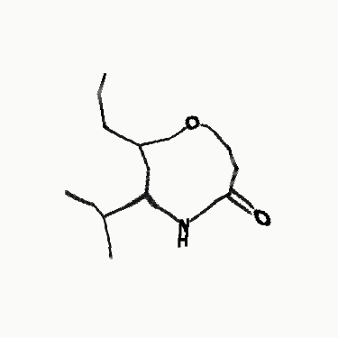 CCC1OCC(=O)NC1C(C)C